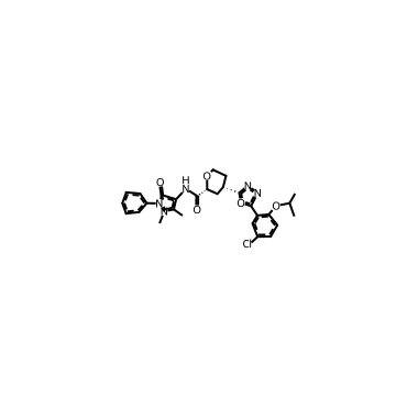 Cc1c(NC(=O)[C@H]2C[C@@H](c3nnc(-c4cc(Cl)ccc4OC(C)C)o3)CCO2)c(=O)n(-c2ccccc2)n1C